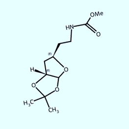 COC(=O)NCC[C@@H]1C[C@H]2OC(C)(C)OC2O1